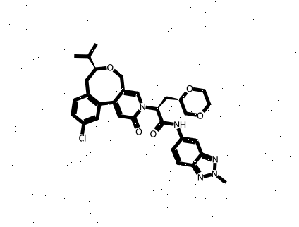 CC(C)[C@@H]1Cc2ccc(Cl)cc2-c2cc(=O)n([C@@H](C[C@@H]3COCCO3)C(=O)Nc3ccc4nn(C)nc4c3)cc2CO1